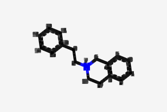 [c]1ccc2c(c1)CN(CCc1ccccc1)CC2